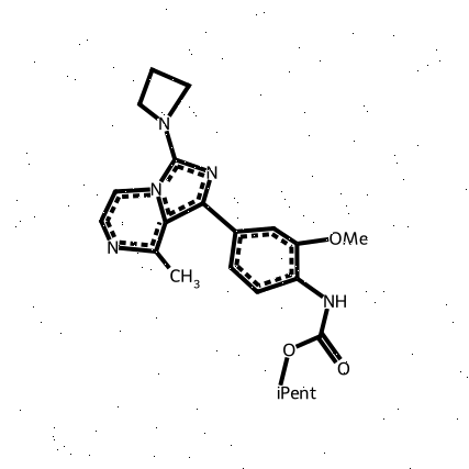 CCCC(C)OC(=O)Nc1ccc(-c2nc(N3CCC3)n3ccnc(C)c23)cc1OC